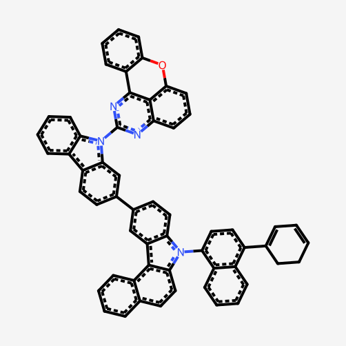 C1=CCCC(c2ccc(-n3c4ccc(-c5ccc6c7ccccc7n(-c7nc8c9c(cccc9n7)Oc7ccccc7-8)c6c5)cc4c4c5ccccc5ccc43)c3ccccc23)=C1